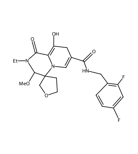 CCN1C(=O)C2=C(O)CC(C(=O)NCc3ccc(F)cc3F)=CN2C2(CCOC2)C1OC